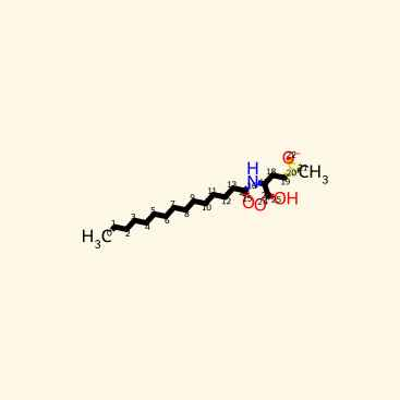 CCCCCCCCCCCCCCC(=O)NC(CC[S+](C)[O-])C(=O)O